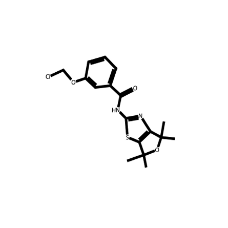 CC1(C)OC(C)(C)c2sc(NC(=O)c3cccc(OCCl)c3)nc21